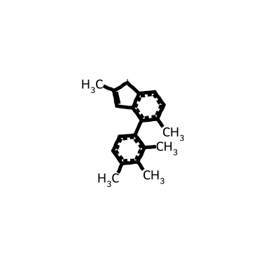 CC1=Cc2c(ccc(C)c2-c2ccc(C)c(C)c2C)[CH]1